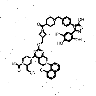 CCC(=O)N1CCN(c2nc(OCC3CN(C(=O)C4CCN(Cc5ccc(-n6c(O)nnc6-c6cc(C(C)C)c(O)cc6O)cc5)CC4)C3)nc3c2CCN(c2cccc4cccc(Cl)c24)C3)CC1CC#N